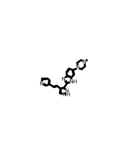 CN1CCN(c2ccc3nc(-c4n[nH]cc4C=Cc4cccnc4)[nH]c3c2)CC1